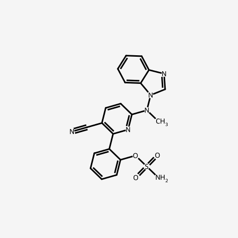 CN(c1ccc(C#N)c(-c2ccccc2OS(N)(=O)=O)n1)n1cnc2ccccc21